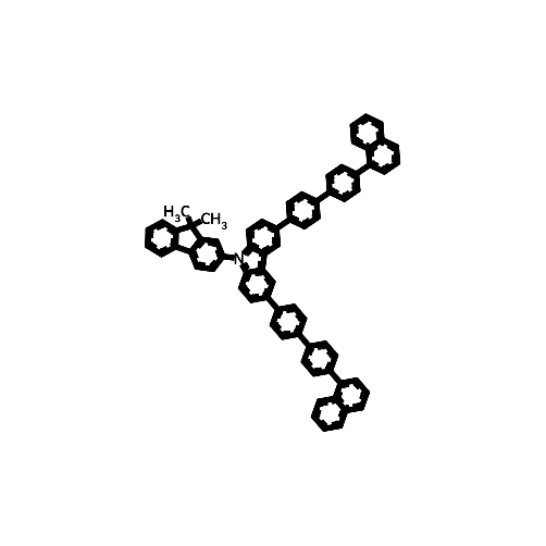 CC1(C)c2ccccc2-c2ccc(-n3c4ccc(-c5ccc(-c6ccc(-c7cccc8ccccc78)cc6)cc5)cc4c4cc(-c5ccc(-c6ccc(-c7cccc8ccccc78)cc6)cc5)ccc43)cc21